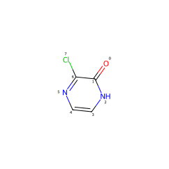 O=c1[nH]ccnc1Cl